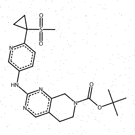 CC(C)(C)OC(=O)N1CCc2cnc(Nc3ccc(C4(S(C)(=O)=O)CC4)nc3)nc2C1